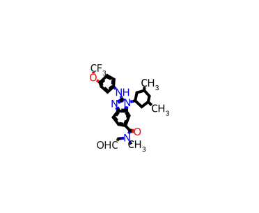 CC1CC(C)CC(n2c(Nc3ccc(OC(F)(F)F)cc3)nc3ccc(C(=O)N(C)CC=O)cc32)C1